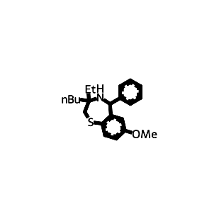 CCCCC1(CC)CSc2ccc(OC)cc2C(c2ccccc2)N1